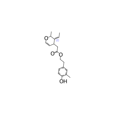 C/C=C1/C(CC(=O)OCCc2ccc(O)c(C)c2)C=COC1C